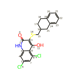 O=c1[nH]c2cc(Cl)cc(Cl)c2c(O)c1SCC1CCc2ccccc2C1